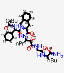 CCCCC(NC(=O)CNC(=O)C(=O)C(CCC)NC(=O)C1Cc2ccccc2CN1C(=O)C(NC(=O)OCC(C)C)C1CCCCC1)C(N)=O